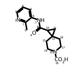 Cc1ncccc1NC(=O)C1CC12CCN(C(=O)O)CC2